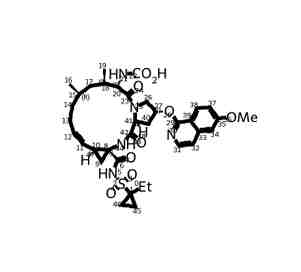 CCC1(S(=O)(=O)NC(=O)[C@@]23C[C@H]2C=CCC[C@@H](C)C[C@@H](C)[C@H](NC(=O)O)C(=O)N2C[C@H](Oc4nccc5cc(OC)ccc45)C[C@H]2C(=O)N3)CC1